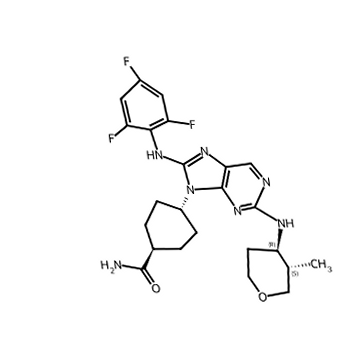 C[C@@H]1COCC[C@H]1Nc1ncc2nc(Nc3c(F)cc(F)cc3F)n([C@H]3CC[C@H](C(N)=O)CC3)c2n1